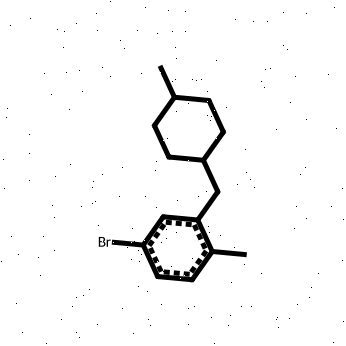 Cc1ccc(Br)cc1CC1CCC(C)CC1